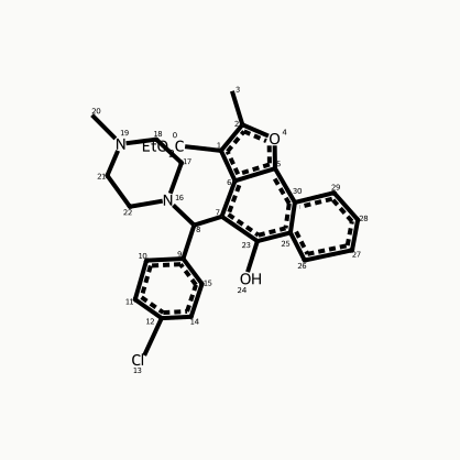 CCOC(=O)c1c(C)oc2c1c(C(c1ccc(Cl)cc1)N1CCN(C)CC1)c(O)c1ccccc12